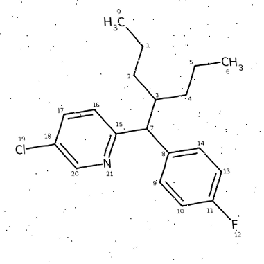 CCCC(CCC)C(c1ccc(F)cc1)c1ccc(Cl)cn1